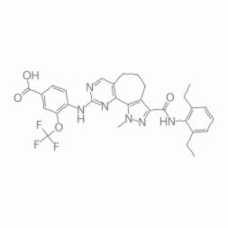 CCc1cccc(CC)c1NC(=O)c1nn(C)c2c1CCCc1cnc(Nc3ccc(C(=O)O)cc3OC(F)(F)F)nc1-2